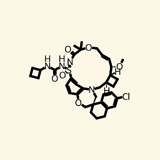 CO[C@H]1/C=C/COC(C)(C)C(=O)N=S(=O)(NC(=O)NC2CCC2)c2ccc3c(c2)N(C[C@@H]2CC[C@H]21)C[C@@]1(CCCc2cc(Cl)ccc21)CO3